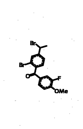 COc1ccc(C(=O)c2ccc(C(C)Br)cc2Br)cc1F